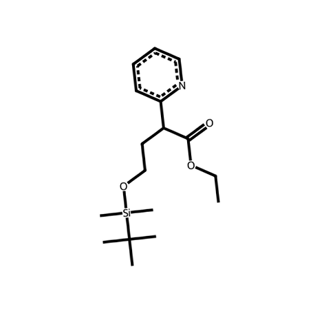 CCOC(=O)C(CCO[Si](C)(C)C(C)(C)C)c1ccccn1